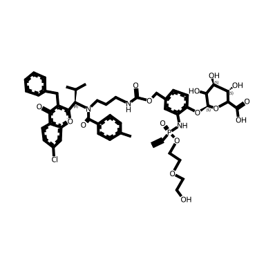 C#CP(=O)(Nc1cc(COC(=O)NCCCN(C(=O)c2ccc(C)cc2)[C@@H](c2oc3cc(Cl)ccc3c(=O)c2Cc2ccccc2)C(C)C)ccc1O[C@@H]1OC(C(=O)O)[C@@H](O)[C@H](O)C1O)OCCOCCO